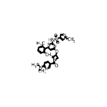 Cc1cccc(C)c1-c1cc(OC2CN(C(=O)c3ccc(N(C)C)nc3)C2)nc(NS(=O)(=O)c2cnn(C)c2)n1